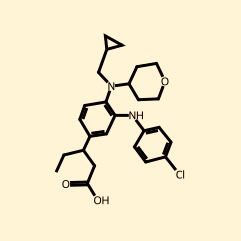 CCC(CC(=O)O)c1ccc(N(CC2CC2)C2CCOCC2)c(Nc2ccc(Cl)cc2)c1